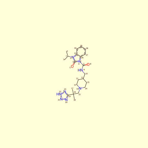 CC(C)n1c(=O)n(C(=O)NCC2CCN(CC(C)(C)c3nn[nH]n3)CC2)c2ccccc21